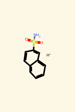 NS(=O)(=O)c1ccc2ccccc2c1.[H+]